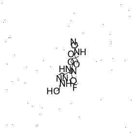 CC1(C(=O)Nc2ccncc2)COC(c2nc(-c3ccc(F)cc3)c(-c3ccnc(NCCO)n3)[nH]2)OC1